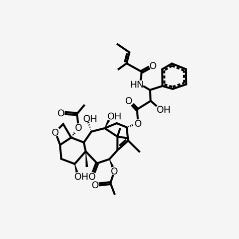 C/C=C(\C)C(=O)NC(c1ccccc1)C(O)C(=O)O[C@H]1C[C@@]2(O)[C@@H](O)C3[C@]4(OC(C)=O)COC4C[C@H](O)[C@@]3(C)C(=O)[C@H](OC(C)=O)C(=C1C)C2(C)C